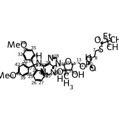 CCC(C)(C)C(=O)SCCO[PH](=O)OC[C@H]1O[C@@H](n2cnc3c(NC(c4ccccc4)(c4ccc(OC)cc4)c4ccc(OC)cc4)ncnc32)C(C)(O)[C@H]1O